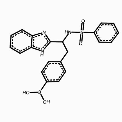 O=S(=O)(NC(Cc1ccc(B(O)O)cc1)c1nc2ccccc2[nH]1)c1ccccc1